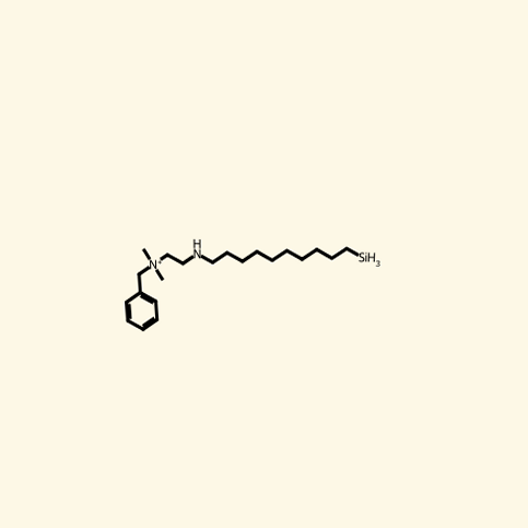 C[N+](C)(CCNCCCCCCCCCC[SiH3])Cc1ccccc1